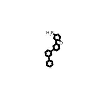 Bc1ccc2oc3ccc(-c4cccc(-c5ccccc5)c4)cc3c2c1